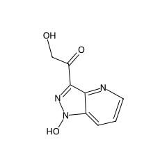 O=C(CO)c1nn(O)c2cccnc12